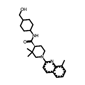 Cc1cccc2ccc(N3CC[C@H](C(=O)NC4CCC(CO)CC4)C(C)(C)C3)nc12